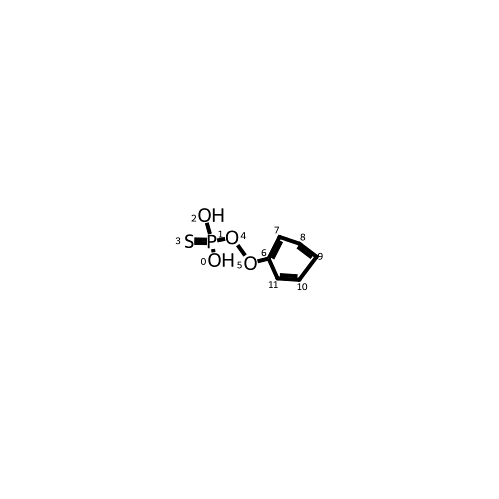 OP(O)(=S)OOc1ccccc1